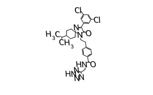 CC(C)C1CCC2(CC1)N=C(c1cc(Cl)cc(Cl)c1)C(=O)N2CCc1ccc(C(=O)NCc2nn[nH]n2)cc1